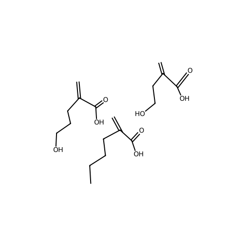 C=C(CCCC)C(=O)O.C=C(CCCO)C(=O)O.C=C(CCO)C(=O)O